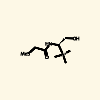 CSCC(=O)N[C@H](CO)[N+](C)(C)C